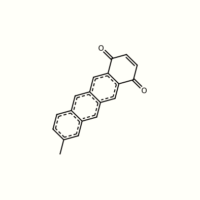 Cc1ccc2cc3cc4c(cc3cc2c1)C(=O)C=CC4=O